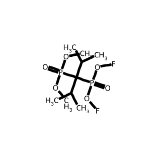 COP(=O)(OC)C(C(C)C)(C(C)C)P(=O)(OF)OF